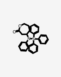 O=C1CC(N(c2ccccc2)[Si](c2ccccc2)(c2ccccc2)c2ccccc2)CCCO1